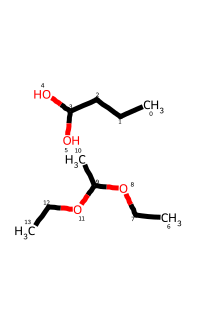 CCCC(O)O.CCOC(C)OCC